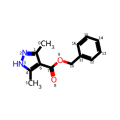 Cc1n[nH]c(C)c1C(=O)OCc1ccccc1